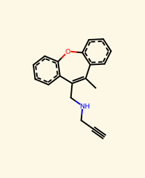 C#CCNCC1=C(C)c2ccccc2Oc2ccccc21